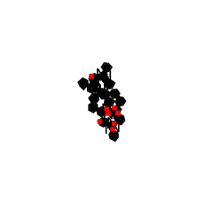 c1ccc(-c2ccc3nc(-c4cc(-c5cccc(-c6cccc(-c7ccc8c(c7)nc(-c7ccc(-c9ccccc9)c9c7sc7c(-c%10nc(-c%11ccccc%11)nc(-c%11ccccc%11)n%10)cccc79)n8-c7ccccc7)c6)c5)cc5c4sc4c(-c6nc(-c7ccccc7)nc(-c7ccccc7)n6)cccc45)n(-c4ccccc4)c3c2)cc1